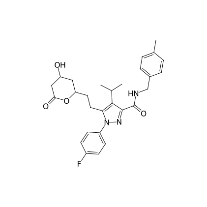 Cc1ccc(CNC(=O)c2nn(-c3ccc(F)cc3)c(CCC3CC(O)CC(=O)O3)c2C(C)C)cc1